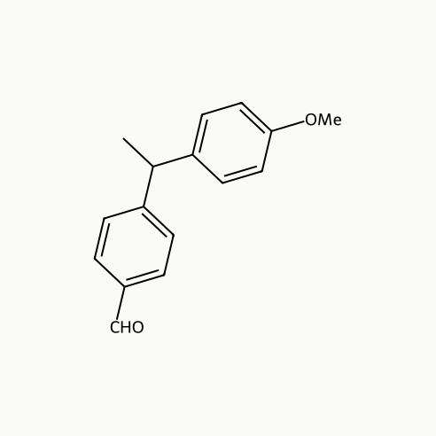 COc1ccc(C(C)c2ccc(C=O)cc2)cc1